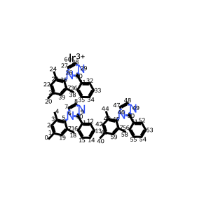 Cc1cc(C)c(-n2ccnc2-c2ccccc2)c(C)c1.Cc1cc(C)c(-n2ccnc2-c2ccccc2)c(C)c1.Cc1cc(C)c(-n2ccnc2-c2ccccc2)c(C)c1.[Ir+3]